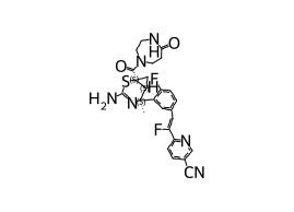 C[C@]1(c2cc(C=C(F)c3ccc(C#N)cn3)ccc2F)N=C(N)S[C@@]2(C(=O)N3CCNC(=O)CC3)C[C@H]21